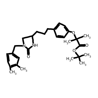 Cc1ccc(CN2CC(CCCc3ccc(OC(C)(C)C(=O)OC(C)(C)C)cc3)NC2=O)cc1C